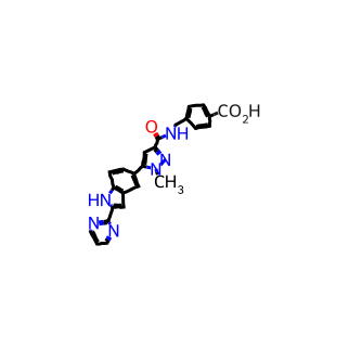 Cn1nc(C(=O)NCc2ccc(C(=O)O)cc2)cc1-c1ccc2[nH]c(-c3ncccn3)cc2c1